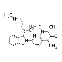 C=N/C=C\C=C(/C)C1c2ccccc2CN1c1ccc2c(n1)N(C)[C@H](C)C(=O)N2C